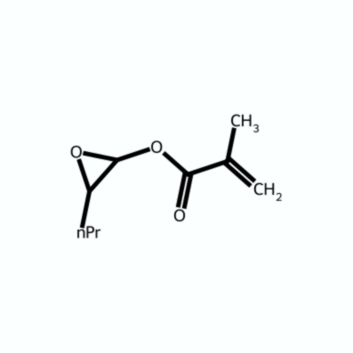 C=C(C)C(=O)OC1OC1CCC